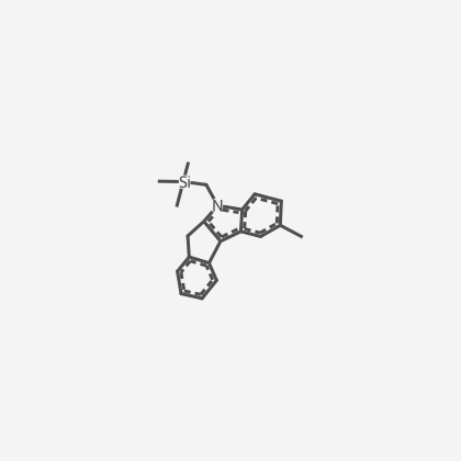 Cc1ccc2c(c1)c1c(n2C[Si](C)(C)C)Cc2ccccc2-1